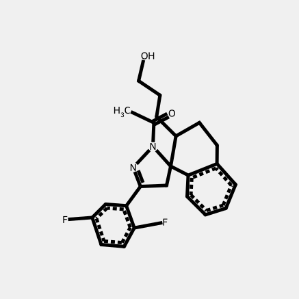 CC(=O)N1N=C(c2cc(F)ccc2F)CC12c1ccccc1CCC2CCCO